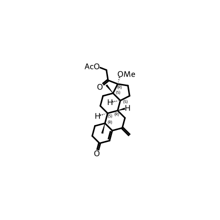 C=C1C[C@@H]2[C@H](CC[C@@]3(C)[C@H]2CC[C@]3(OC)C(=O)COC(C)=O)[C@@]2(C)CCC(=O)C=C12